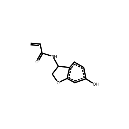 C=CC(=O)NC1COc2cc(O)ccc21